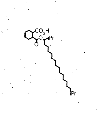 CC(C)CCCCCCCCCCCCCCC(OC(=O)C1CC=CCC1C(=O)O)C(C)C